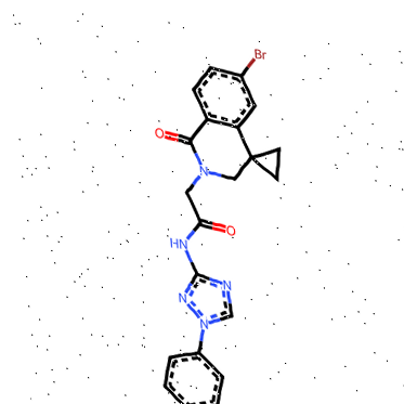 O=C(CN1CC2(CC2)c2cc(Br)ccc2C1=O)Nc1ncn(-c2ccccc2)n1